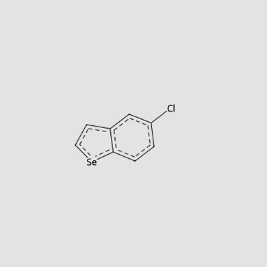 Clc1ccc2[se]ccc2c1